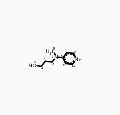 CN(CCCO)c1ccncc1